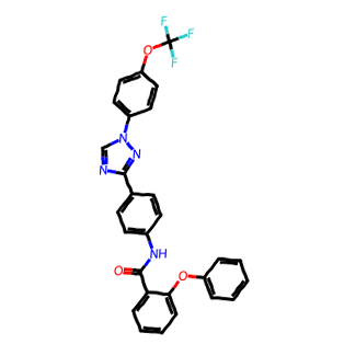 O=C(Nc1ccc(-c2ncn(-c3ccc(OC(F)(F)F)cc3)n2)cc1)c1ccccc1Oc1ccccc1